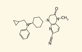 CN1C(=O)CN([C@H]2CC[C@H](N(CC3CC3)c3ccccc3)CC2)c2nc(C#N)ccc21